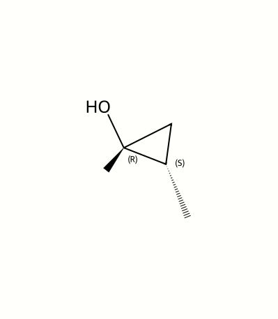 C[C@H]1C[C@@]1(C)O